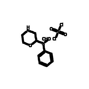 O=CN(c1ccccc1)C1CNCCO1.O=S(=O)(Cl)Cl